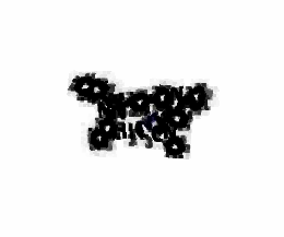 C=C/C=C\c1c(C)n(-c2ccccc2)c2ccc3c(-c4ccccc4)nc4ccc(-c5ccc(-c6nc(-c7ccc8ccccc8c7)nc(-c7ccc8ccccc8c7)n6)cc5)cc4c3c12